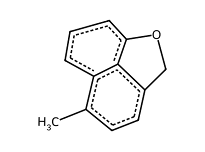 Cc1ccc2c3c(cccc13)OC2